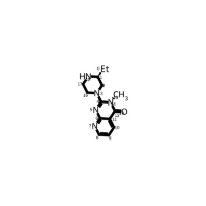 CC[C@H]1CN(c2nc3ncccc3c(=O)n2C)CCN1